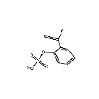 CC(=O)c1ccccc1OS(=O)(=O)O